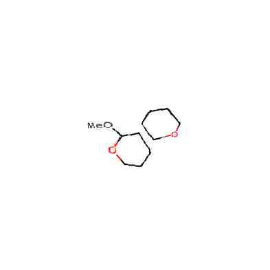 C1CCOCC1.COC1CCCCO1